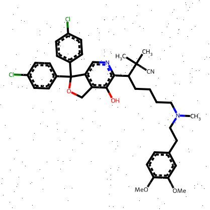 COc1ccc(CCN(C)CCCCC(c2ncc3c(c2O)COC3(c2ccc(Cl)cc2)c2ccc(Cl)cc2)C(C)(C)C#N)cc1OC